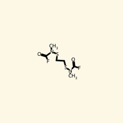 CN(SCCSN(C)C(=O)F)C(=O)F